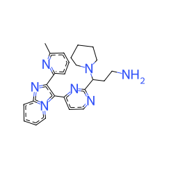 Cc1cccc(-c2nc3ccccn3c2-c2ccnc(C(CCN)N3CCCCC3)n2)n1